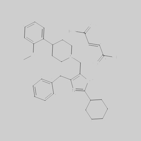 COc1ccccc1C1CCN(Cc2oc(C3CCCCC3)nc2Cc2ccccc2)CC1.O=C(O)C=CC(=O)O